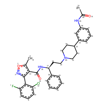 Cc1onc(-c2c(F)cccc2Cl)c1C(=O)N[C@@H](CCN1CCC(c2cccc(NC(=O)C(C)C)c2)CC1)c1ccccc1